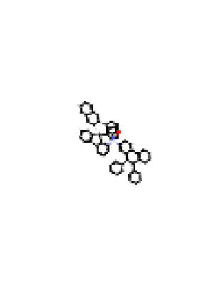 CC1(c2ccccc2)c2ccccc2-c2cccc(N(c3cccc(-c4ccc5ccccc5c4)c3)c3ccc4c(c3)c(-c3ccccc3)c(-c3ccccc3)c3ccccc34)c21